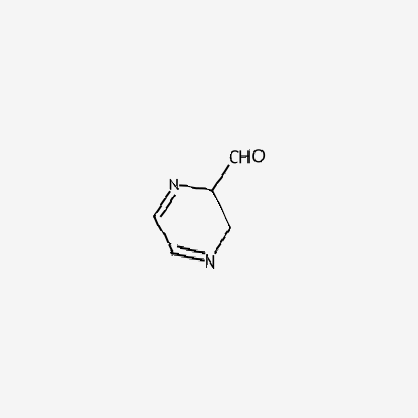 O=CC1CN=CC=N1